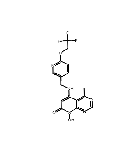 Cc1ncnc2c1c(NCc1ccc(OCC(F)(F)F)nc1)cc(=O)n2O